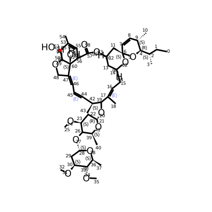 CC[C@H](C)[C@H]1O[C@]2(C=C[C@@H]1C)C[C@@H]1C[C@@H](C/C=C(\C)C(O[C@H]3C[C@H](OC)C(O[C@H]4C[C@H](OC)[C@@H](OC)[C@H](C)O4)[C@H](C)O3)[C@@H](C)/C=C/C=C3\CO[C@@H]4[C@H](O)C(C)=C[C@@H](C(=O)O1)[C@]34O)O2